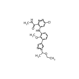 CCOC(C)n1cc(-c2cccc(Nc3cc(Cl)nnc3C(=O)NC)c2OC)cn1